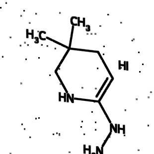 CC1(C)CC=C(NN)NC1.I